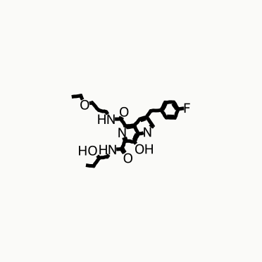 CCOCCCNC(=O)c1nc(C(=O)NCC(O)CC)c(O)c2ncc(Cc3ccc(F)cc3)cc12